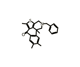 Cc1cc2c(cc1C)C1(C)CN(Cc3ccccc3)Cc3sc(C)c(c31)C2=O